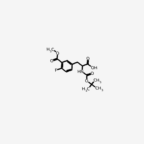 COC(=O)c1cc(CC(NC(=O)OC(C)(C)C)C(=O)O)ccc1F